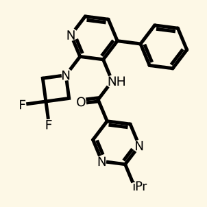 CC(C)c1ncc(C(=O)Nc2c(-c3ccccc3)ccnc2N2CC(F)(F)C2)cn1